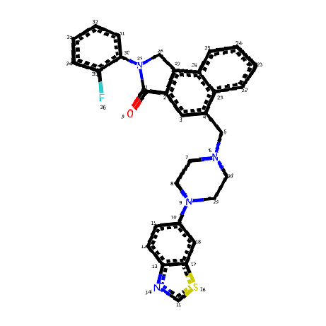 O=C1c2cc(CN3CCN(c4ccc5ncsc5c4)CC3)c3ccccc3c2CN1c1ccccc1F